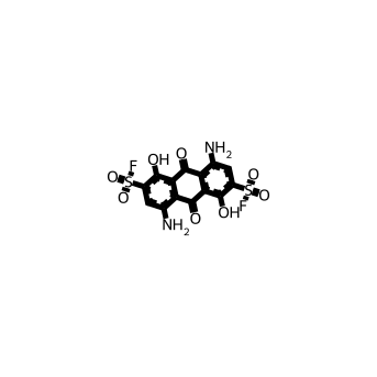 Nc1cc(S(=O)(=O)F)c(O)c2c1C(=O)c1c(O)c(S(=O)(=O)F)cc(N)c1C2=O